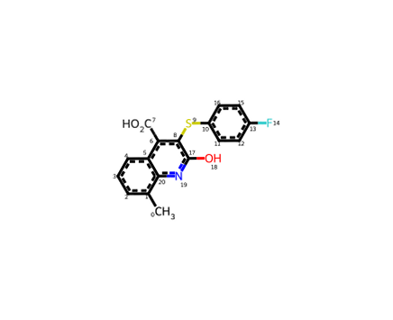 Cc1cccc2c(C(=O)O)c(Sc3ccc(F)cc3)c(O)nc12